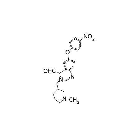 CN1CCCC(CN2C=Nc3ccc(Oc4ccc([N+](=O)[O-])cc4)cc3C2C=O)C1